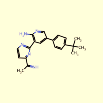 CC(=N)c1ccnc(-c2cc(-c3ccc(C(C)(C)C)cc3)cnc2N)n1